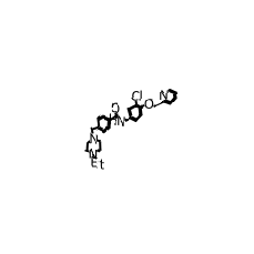 CCN1CCN(Cc2ccc(C(=O)Nc3ccc(OCc4ccccn4)c(Cl)c3)cc2)CC1